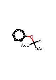 CCC(OC(C)=O)(OC(C)=O)Oc1ccccc1